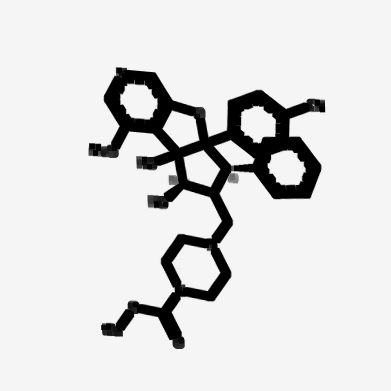 COc1cncc2c1C1(O)[C@H](O)C(CN3CCN(C(=O)OC(C)(C)C)CC3)[C@@H](c3ccccc3)C1(c1ccc(C#N)cc1)O2